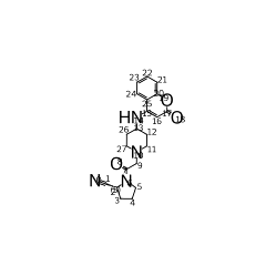 N#C[C@@H]1CCCN1C(=O)CN1CCC(Nc2cc(=O)oc3ccccc23)CC1